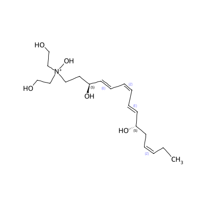 CC/C=C\C[C@H](O)/C=C/C=C\C=C\[C@@H](O)CC[N+](O)(CCO)CCO